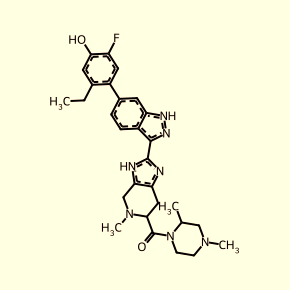 CCc1cc(O)c(F)cc1-c1ccc2c(-c3nc4c([nH]3)CN(C)C(C(=O)N3CCN(C)CC3C)C4)n[nH]c2c1